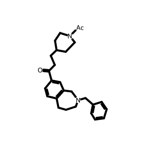 CC(=O)N1CCC(CCC(=O)c2ccc3c(c2)CN(Cc2ccccc2)CCC3)CC1